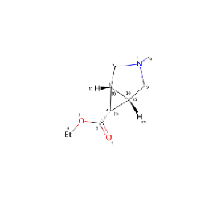 CCOC(=O)[C@@H]1[C@@H]2CN(C)C[C@@H]21